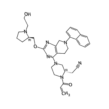 C=CC(=O)N1CCN(c2nc(OC[C@H]3CCCN3CCO)nc3c2CCN(c2cccc4ccccc24)C3)C[C@@H]1CC#N